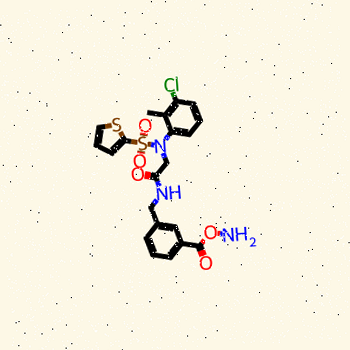 Cc1c(Cl)cccc1N(CC(=O)NCc1cccc(C(=O)ON)c1)S(=O)(=O)c1cccs1